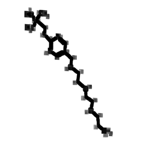 C[Si](C)(O)CSc1ncc(COCCOCCOCCN)cn1